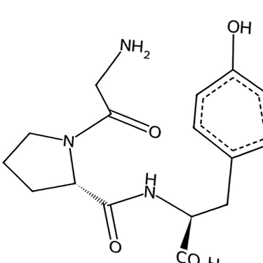 NCC(=O)N1CCC[C@H]1C(=O)N[C@@H](Cc1ccc(O)cc1)C(=O)O